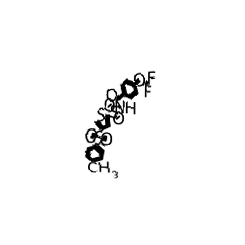 Cc1ccc(S(=O)(=O)c2csc(S(=O)(=O)NC(=O)c3ccc(OC(F)F)cc3)c2)cc1